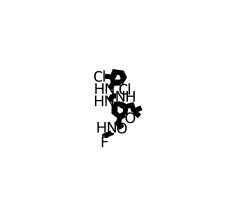 CC1(C)Cc2c3c(cc(C(=O)NCCF)c2O1)NC(Nc1c(Cl)cccc1Cl)N3